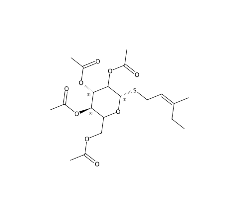 CCC(C)=CCS[C@@H]1OC(COC(C)=O)[C@@H](OC(C)=O)[C@H](OC(C)=O)C1OC(C)=O